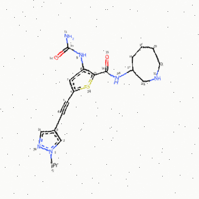 CC(C)n1cc(C#Cc2cc(NC(N)=O)c(C(=O)NC3CCCCNC3)s2)cn1